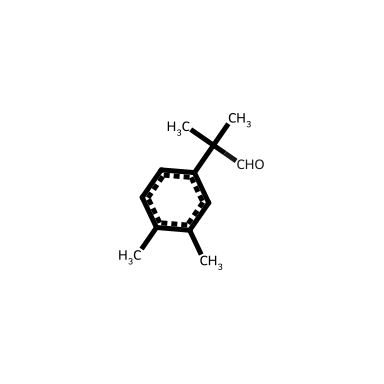 Cc1ccc(C(C)(C)C=O)cc1C